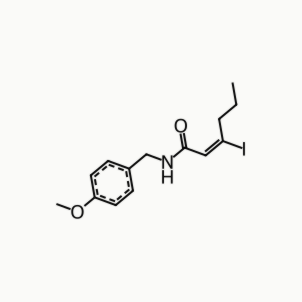 CCC/C(I)=C\C(=O)NCc1ccc(OC)cc1